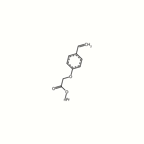 C=Cc1ccc(OCC(=O)OCCC)cc1